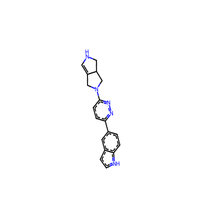 C1=C2CN(c3ccc(-c4ccc5[nH]ccc5c4)nn3)CC2CN1